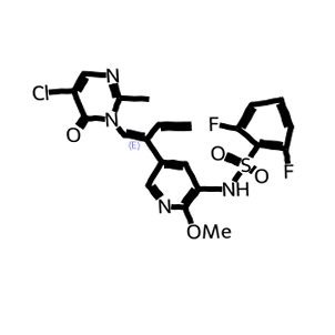 C=C/C(=C\n1c(C)ncc(Cl)c1=O)c1cnc(OC)c(NS(=O)(=O)c2c(F)cccc2F)c1